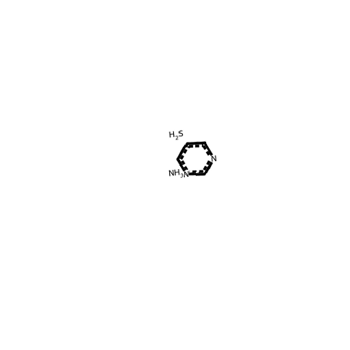 N.S.c1cncnc1